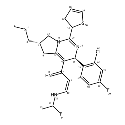 CSC[C@H]1CC2=C(C(=N)/C=C\NC(C)F)[C@H](c3ccc(F)cc3Cl)N=C(C3CC=CS3)N2C1